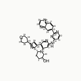 O[C@H]1CCCN(c2cc(Nc3ccnc(-c4ccc5nccnc5c4)n3)ncc2-c2cnn(C3CCOCC3)c2)C1